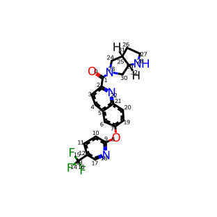 O=C(c1ccc2cc(Oc3ccc(C(F)(F)F)cn3)ccc2n1)N1C[C@@H]2CCN[C@@H]2C1